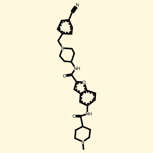 CN1CCC(C(=O)Nc2ccc3oc(C(=O)NC4CCN(Cc5ccc(C#N)cc5)CC4)cc3c2)CC1